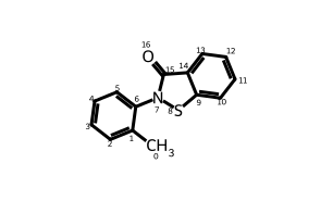 Cc1ccccc1-n1sc2ccccc2c1=O